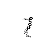 CCCCCCCCCCc1ccccc1C(=S)Oc1ccc(-c2ccc(C(=O)OC(=O)OC[C@@H](C)CC)cc2)cc1